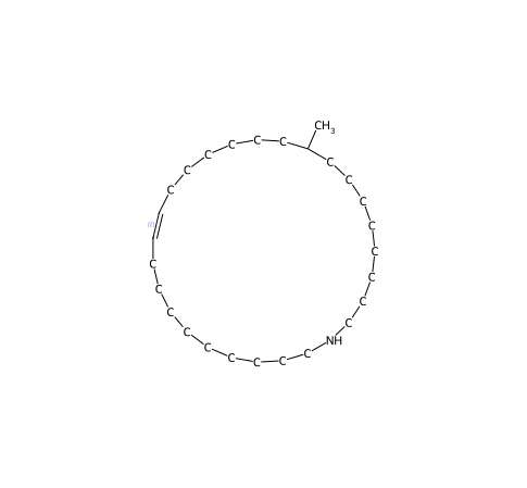 CC1CCCCCC/C=C\CCCCCCCCCNCCCCCCCC1